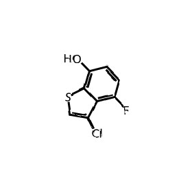 Oc1ccc(F)c2c(Cl)csc12